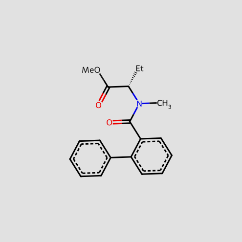 CC[C@@H](C(=O)OC)N(C)C(=O)c1ccccc1-c1ccccc1